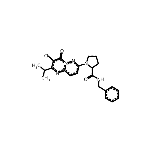 CC(C)c1nc2ccc(N3CCCC3C(=O)NCc3ccccc3)nn2c(=O)c1Cl